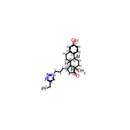 CC(C)Cc1cn(CCC[C@@H]2CC(=O)[C@@]3(C)CC[C@@H]4c5ccc(O)cc5CC[C@H]4[C@H]23)nn1